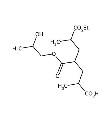 CCOC(=O)C(C)CC(CC(C)C(=O)O)C(=O)OCC(C)O